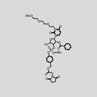 CCCCOP(=O)(Oc1ccc(COC(=O)ON2C(=O)CCC2=O)cc1)OC1[C@@H](CC)O[C@@H](n2ccc(=O)n(CCOCCOCCOC)c2=O)[C@H]1OC(=O)c1ccccc1